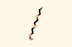 CCCOCCOCCOCCF